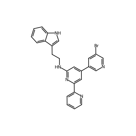 Brc1cncc(-c2cc(NCCc3c[nH]c4ccccc34)nc(-c3ccccn3)c2)c1